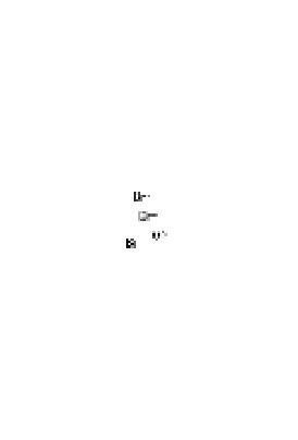 [Br-].[Br-].[Br-].[V+3]